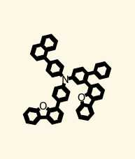 c1ccc(-c2ccc(N(c3ccc(-c4cccc5ccccc45)cc3)c3ccc(-c4cccc5c4oc4ccccc45)cc3)cc2-c2cccc3c2oc2ccccc23)cc1